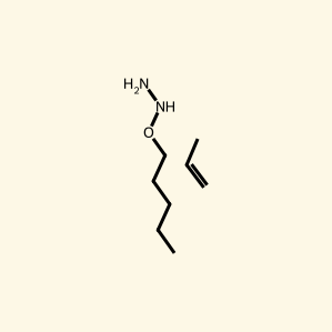 C=CC.CCCCCONN